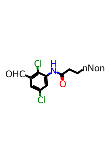 CCCCCCCCCCCC(=O)Nc1cc(Cl)cc(C=O)c1Cl